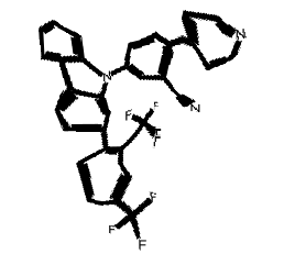 N#Cc1cc(-n2c3ccccc3c3ccc(-c4ccc(C(F)(F)F)cc4C(F)(F)F)cc32)ccc1-c1ccncc1